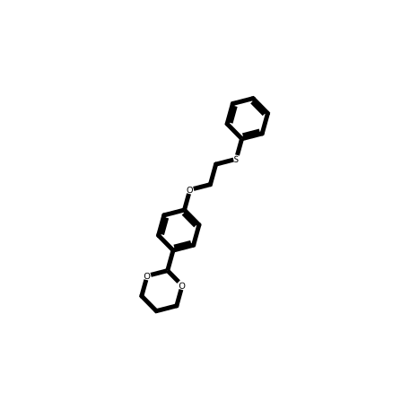 c1ccc(SCCOc2ccc(C3OCCCO3)cc2)cc1